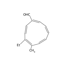 CCc1ccc(C=O)cccccc1C